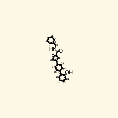 O=C(NCc1c[c]ccc1)c1cc(-c2ccc(-c3ccccc3O)cc2)cs1